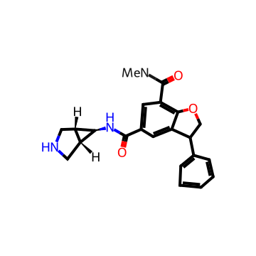 CNC(=O)c1cc(C(=O)N[C@H]2[C@@H]3CNC[C@@H]32)cc2c1OCC2c1ccccc1